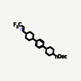 CCCCCCCCCCC1CCC(c2ccc(C3CCC(/C=C/C(F)(F)F)CC3)cc2)CC1